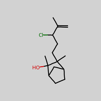 C=C(C)C(Cl)CCC1(C)C2CCC(C2)C1(C)O